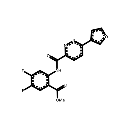 COC(=O)c1cc(F)c(F)cc1NC(=O)c1ccc(-c2ccoc2)nn1